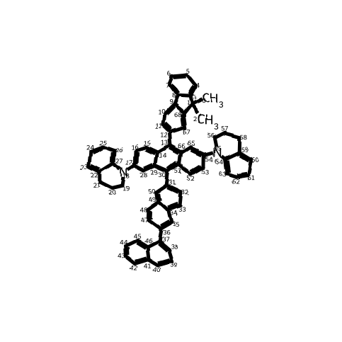 CC1(C)c2ccccc2-c2ccc(-c3c4ccc(N5CCCc6ccccc65)cc4c(-c4ccc5cc(-c6cccc7ccccc67)ccc5c4)c4ccc(N5CCCc6ccccc65)cc34)cc21